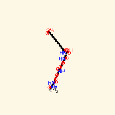 [CH2]C(=O)NCCNC(=O)COCCOCCNC(=O)COCCOCCNC(=O)CC[C@H](NC(=O)CCCCCCCCCCCCCCCCC(=O)O)C(=O)O